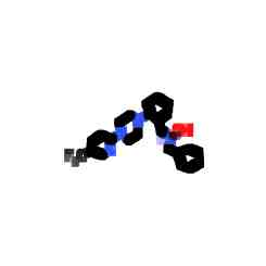 O/[N+](=C\c1ccccc1N1CCN(c2ccc(C(F)(F)F)cn2)CC1)Cc1ccccc1